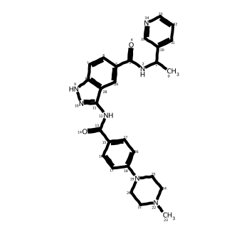 CC(NC(=O)c1ccc2[nH]nc(NC(=O)c3ccc(N4CCN(C)CC4)cc3)c2c1)c1cccnc1